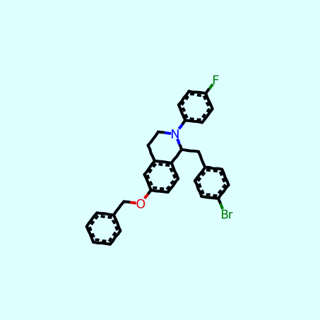 Fc1ccc(N2CCc3cc(OCc4ccccc4)ccc3C2Cc2ccc(Br)cc2)cc1